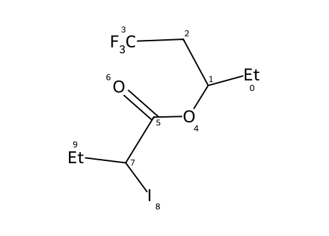 CCC(CC(F)(F)F)OC(=O)C(I)CC